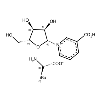 CC[C@H](C)[C@H](N)C(=O)[O-].O=C(O)c1ccc[n+]([C@@H]2O[C@H](CO)[C@@H](O)[C@H]2O)c1